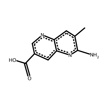 Cc1cc2ncc(C(=O)O)cc2nc1N